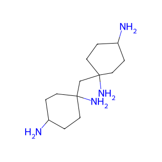 NC1CCC(N)(CC2(N)CCC(N)CC2)CC1